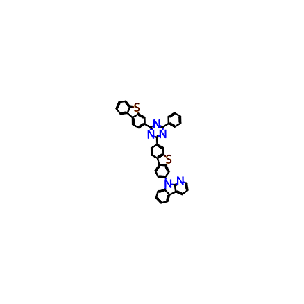 c1ccc(-c2nc(-c3ccc4c(c3)sc3ccccc34)nc(-c3ccc4c(c3)sc3cc(-n5c6ccccc6c6cccnc65)ccc34)n2)cc1